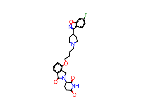 O=C1CCC(N2Cc3c(OCCCCN4CCC(c5noc6cc(F)ccc56)CC4)cccc3C2=O)C(=O)N1